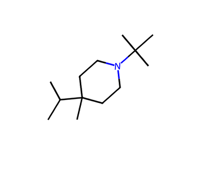 CC(C)C1(C)CCN(C(C)(C)C)CC1